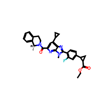 CCOC(=O)C1CC1c1ccc(-c2nc3c(C4CC4)cc(C(=O)N4CCc5ccccc5[C@H]4C)nc3n2C)c(F)c1